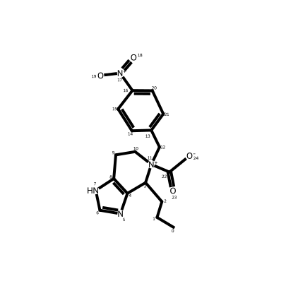 CCCC1c2nc[nH]c2CC[N+]1(Cc1ccc([N+](=O)[O-])cc1)C(=O)[O-]